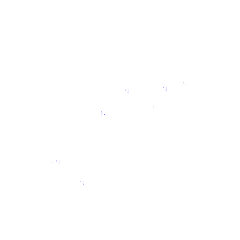 CC(=O)N1[C@H](C)CN(c2cccc(-c3c[nH]c4ncc(F)cc34)n2)C[C@@H]1C